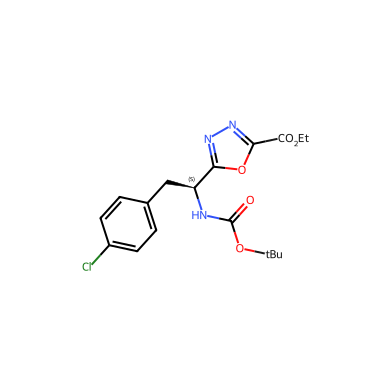 CCOC(=O)c1nnc([C@H](Cc2ccc(Cl)cc2)NC(=O)OC(C)(C)C)o1